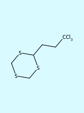 ClC(Cl)(Cl)CCC1SCSCS1